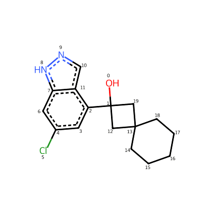 OC1(c2cc(Cl)cc3[nH]ncc23)CC2(CCCCC2)C1